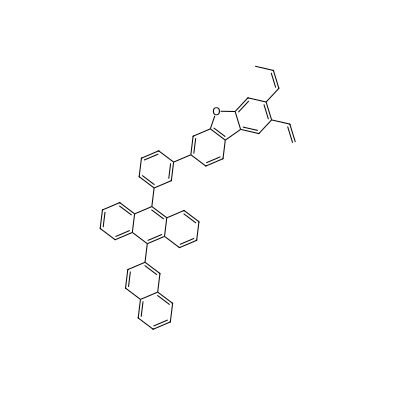 C=Cc1cc2c(cc1/C=C\C)oc1cc(-c3cccc(-c4c5ccccc5c(-c5ccc6ccccc6c5)c5ccccc45)c3)ccc12